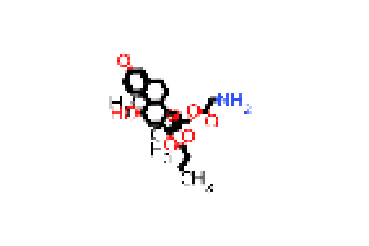 CCCC1OC2CC3C4CCC5=CC(=O)C=CC5(C)C4C(O)CC3(C)C2(C(=O)COC(=O)CN)O1